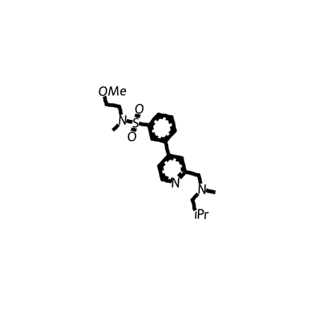 COCCN(C)S(=O)(=O)c1cccc(-c2ccnc(CN(C)CC(C)C)c2)c1